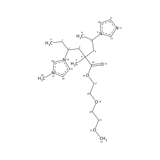 CCC(CC(C)(CC(C)n1ccnc1)C(=O)OCCOCCOC)n1cc[n+](C)c1